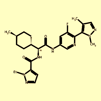 CCn1nccc1C(=O)N[C@H](C(=O)Nc1cnc(-c2c(C)cnn2C)c(F)c1)[C@H]1CC[C@H](C)CC1